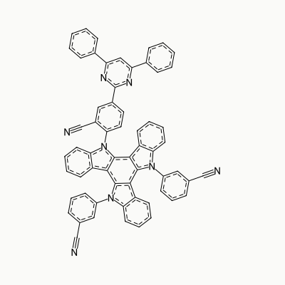 N#Cc1cccc(-n2c3ccccc3c3c2c2c4ccccc4n(-c4ccc(-c5nc(-c6ccccc6)cc(-c6ccccc6)n5)cc4C#N)c2c2c4ccccc4n(-c4cccc(C#N)c4)c32)c1